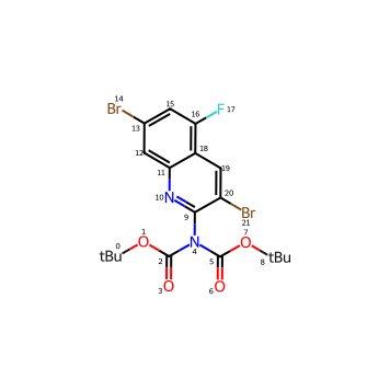 CC(C)(C)OC(=O)N(C(=O)OC(C)(C)C)c1nc2cc(Br)cc(F)c2cc1Br